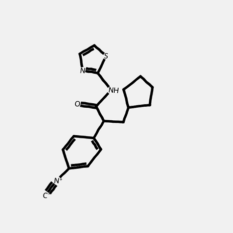 [C-]#[N+]c1ccc(C(CC2CCCC2)C(=O)Nc2nccs2)cc1